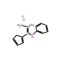 C[Si](C)=[Ti+2]([PH]c1ccccc1)[C]1=CC=CC1.[Cl-].[Cl-]